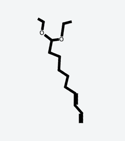 C=C/C=C/CCCCCC(OCC)OCC